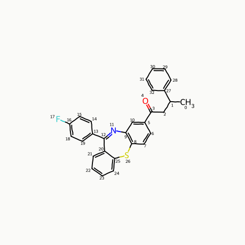 CC(CC(=O)c1ccc2c(c1)N=C(c1ccc(F)cc1)c1ccccc1S2)c1ccccc1